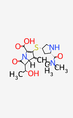 C=C1C(S[C@@H]2CN[C@H](C(=O)N(C)C)C2)=C(C(=O)O)N2C(=O)[C@H]([C@H](C)O)[C@@H]12